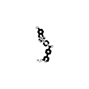 Cc1cc(-c2ccc(C(=O)N3CCN(S(=O)(=O)[N+]4([O-])Cc5ccc(Cl)cc5C4)CC3)cc2)ccn1